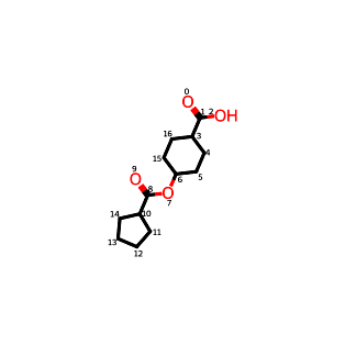 O=C(O)C1CCC(OC(=O)C2CCCC2)CC1